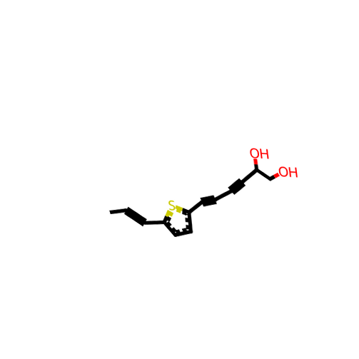 CC#Cc1ccc(C#CC#CC(O)CO)s1